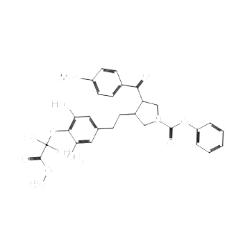 CSc1ccc(C(=O)C2CN(C(=O)Oc3ccccc3)CC2CCc2cc(C)c(OC(C)(C)C(=O)OC(C)(C)C)c(C)c2)cc1